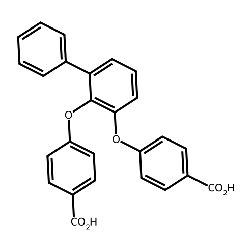 O=C(O)c1ccc(Oc2cccc(-c3ccccc3)c2Oc2ccc(C(=O)O)cc2)cc1